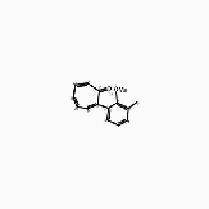 COc1c(C)cccc1-c1cccccc1=O